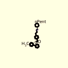 CCCCC[C@H]1CC[C@H](/C=C/CCc2ccc(C(=O)Oc3ccccc3-c3ccc(C)cc3)cc2)CC1